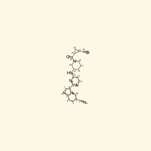 N#Cc1ccc2ncc(-c3nccc(NC4CCCN(C(=O)C5CC5C#N)C4)n3)n2c1